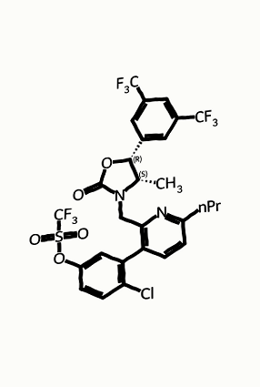 CCCc1ccc(-c2cc(OS(=O)(=O)C(F)(F)F)ccc2Cl)c(CN2C(=O)O[C@H](c3cc(C(F)(F)F)cc(C(F)(F)F)c3)[C@@H]2C)n1